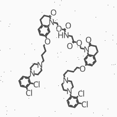 O=C(CNC(=O)OCN1C(=O)CCc2ccc(OCCCCN3CCN(c4cccc(Cl)c4Cl)CC3)cc21)OCN1C(=O)CCc2ccc(OCCCCN3CCN(c4cccc(Cl)c4Cl)CC3)cc21